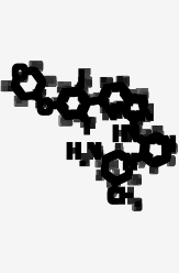 C[C@@H]1C[C@H](N)CN(c2ccncc2Nc2ncc3ccc(-c4c(F)cc(OC5CCOCC5)cc4F)nn23)C1